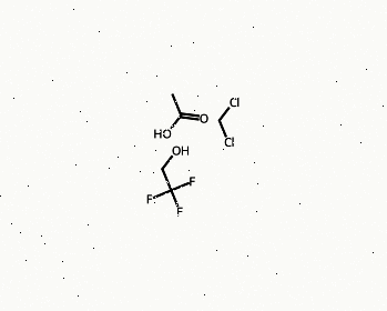 CC(=O)O.ClCCl.OCC(F)(F)F